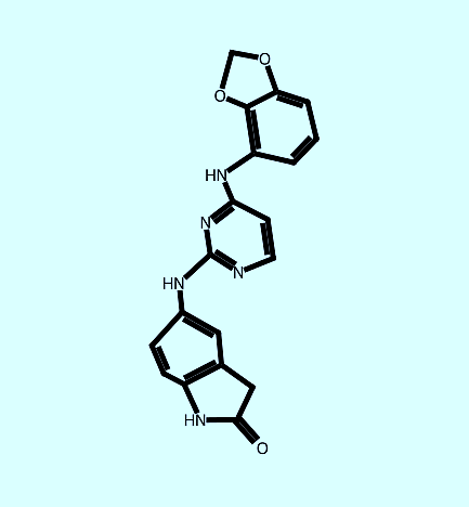 O=C1Cc2cc(Nc3nccc(Nc4cccc5c4OCO5)n3)ccc2N1